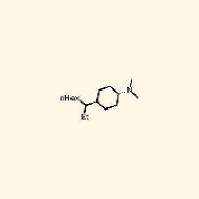 CCCCCCC(CC)[C@H]1CC[C@H](N(C)C)CC1